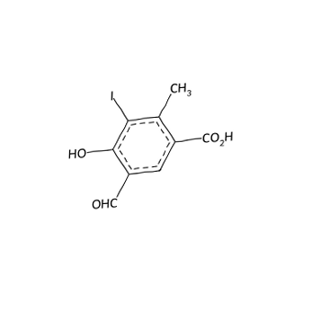 Cc1c(C(=O)O)cc(C=O)c(O)c1I